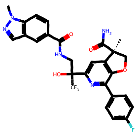 Cn1ncc2cc(C(=O)NCC(O)(c3cc4c(c(-c5ccc(F)cc5)n3)OC[C@]4(C)C(N)=O)C(F)(F)F)ccc21